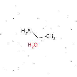 C[CH2][AlH2].O